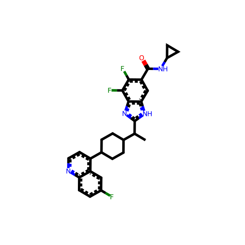 CC(c1nc2c(F)c(F)c(C(=O)NC3CC3)cc2[nH]1)C1CCC(c2ccnc3ccc(F)cc23)CC1